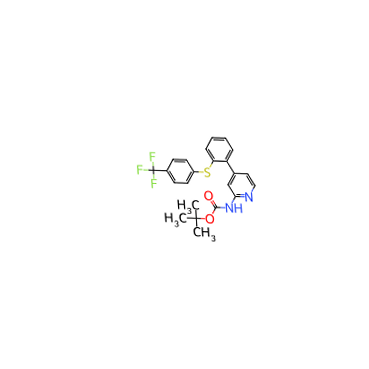 CC(C)(C)OC(=O)Nc1cc(-c2ccccc2Sc2ccc(C(F)(F)F)cc2)ccn1